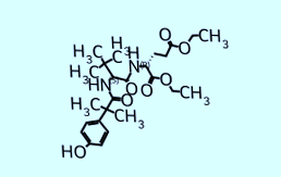 CCOC(=O)CC[C@@H](NC(=O)[C@@H](NC(=O)C(C)(C)c1ccc(O)cc1)C(C)(C)C)C(=O)OCC